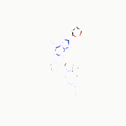 CCN1CCN(C(=O)[C@@H]2CCCN2c2nc(N)n3nc(-c4ccco4)nc3n2)C2(CC2)C1